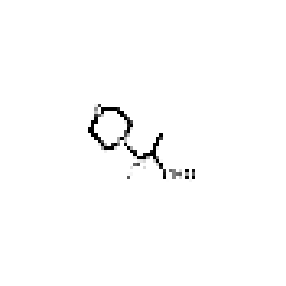 CC(C=O)[C@H](C)N1CCOCC1